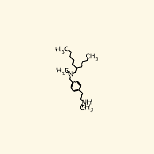 CCCCCC(CCCC)CN(C)Cc1ccc(CCNC)cc1